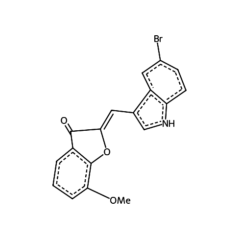 COc1cccc2c1OC(=Cc1c[nH]c3ccc(Br)cc13)C2=O